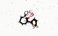 [CH2-][C+]1CCCCC(c2cccs2)C1=O